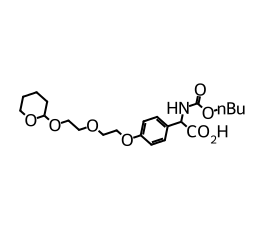 CCCCOC(=O)NC(C(=O)O)c1ccc(OCCOCCOC2CCCCO2)cc1